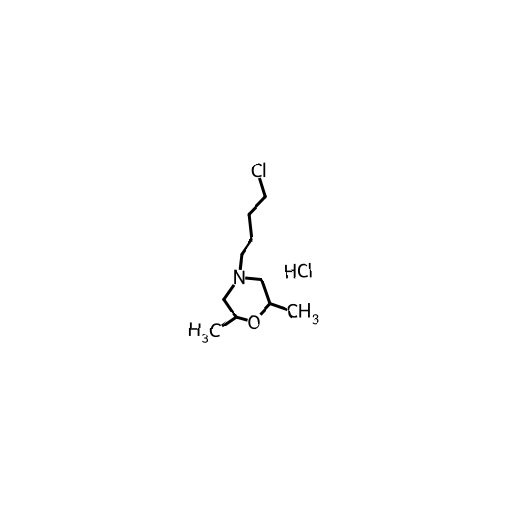 CC1CN(CCCCCl)CC(C)O1.Cl